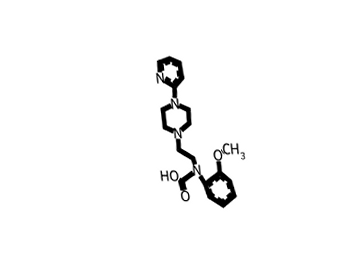 COc1ccccc1N(CCN1CCN(c2ccccn2)CC1)C(=O)O